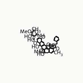 CO[C@@H]1[C@@H](O)[C@@H](CO)[C@@H](NC2=CC(=O)c3c(cc4c(c3O)C(=O)[C@]3(OC)[C@H](O)Cc5cc(C)c(C(=O)NCc6ccccc6)c(O)c5[C@]3(O)C4=O)C2=O)O[C@H]1C